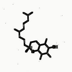 CC(C)CCCC(C)CCC[C@]1(C)CCC2C(C)C(O)C(C)C(C)C2O1